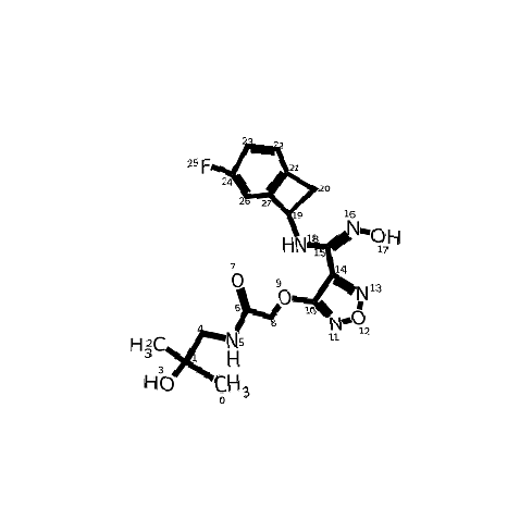 CC(C)(O)CNC(=O)COc1nonc1/C(=N\O)NC1Cc2ccc(F)cc21